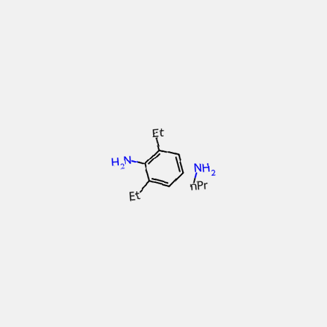 CCCN.CCc1cccc(CC)c1N